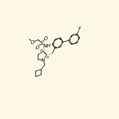 COCS(=O)(=O)N[C@H]1CCN(CC2CCC2)[C@H]1Cc1cccc(-c2cccc(F)c2)c1